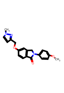 COc1ccc(N2Cc3cc(OCc4ccn(C)n4)ccc3C2=O)cc1